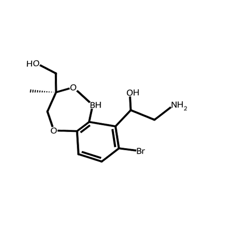 C[C@@]1(CO)COc2ccc(Br)c(C(O)CN)c2BO1